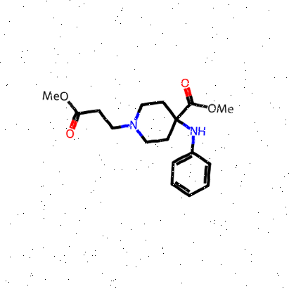 COC(=O)CCN1CCC(Nc2ccccc2)(C(=O)OC)CC1